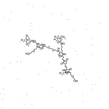 CC(=O)NC(CSC1CC(=O)N(CCC(=O)NC(CCCCNC(=O)OC(C)(C)C)C(=O)NCCOCCOCCC(=O)NC(CCCCNC(=O)OC(C)(C)C)C(=O)NCCOCCO)C1=O)C(=O)NCCOCCO